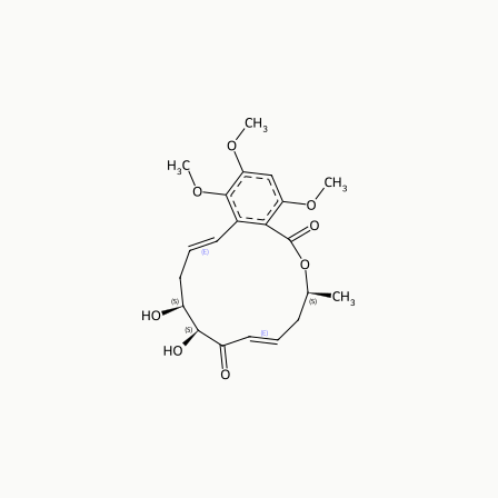 COc1cc(OC)c2c(c1OC)/C=C/C[C@H](O)[C@H](O)C(=O)/C=C/C[C@H](C)OC2=O